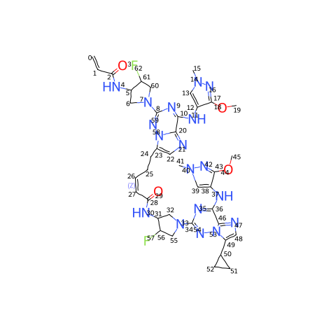 C=CC(=O)NC1CN(c2nc(Nc3cn(C)nc3OC)c3ncc(CC/C=C\C(=O)NC4CN(c5nc(Nc6cn(C)nc6OC)c6ncc(C7CC7)n6n5)CC4F)n3n2)CC1F